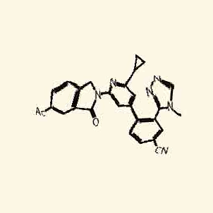 CC(=O)c1ccc2c(c1)C(=O)N(c1cc(-c3ccc(C#N)cc3-c3nncn3C)cc(C3CC3)n1)C2